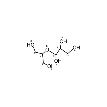 OCC(CO)OC(O)C(O)CO